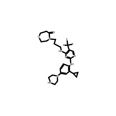 O=C1CCOCCN1CCCNc1nc(Nc2ccc(N3CCNCC3)cc2C2CC2)ncc1C(F)(F)F